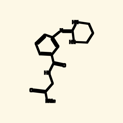 CNC(=O)CNC(=O)c1cccc(N=C2NCCCN2)c1